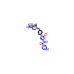 O=C(O)NC1CCN(Cc2ccc(-n3ccc(NC(=O)N4CCNCC4)nc3=O)cc2)CC1